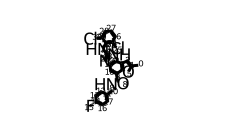 Cc1cc2c(o1)c(C(=O)NCc1ccc(F)cc1)cc1nc(Nc3c(Cl)cccc3Cl)[nH]c12